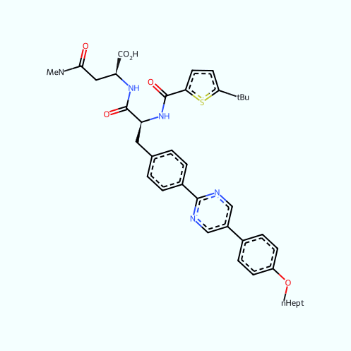 CCCCCCCOc1ccc(-c2cnc(-c3ccc(C[C@H](NC(=O)c4ccc(C(C)(C)C)s4)C(=O)N[C@@H](CC(=O)NC)C(=O)O)cc3)nc2)cc1